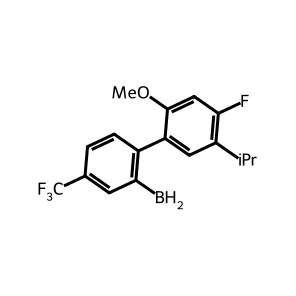 Bc1cc(C(F)(F)F)ccc1-c1cc(C(C)C)c(F)cc1OC